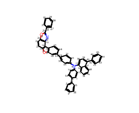 c1ccc(-c2ccc(N(c3ccc(-c4ccc5c(c4)oc4ccc6oc(-c7ccccc7)nc6c45)cc3)c3ccc(-c4ccccc4)c4ccccc34)cc2)cc1